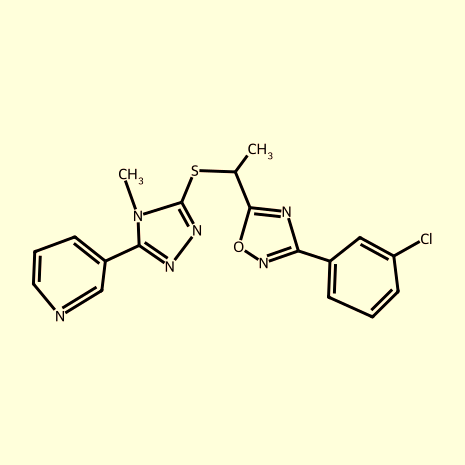 CC(Sc1nnc(-c2cccnc2)n1C)c1nc(-c2cccc(Cl)c2)no1